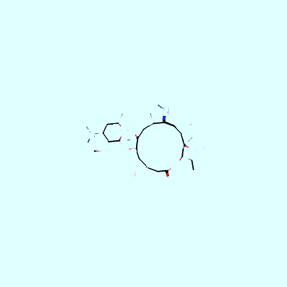 CC[C@H]1OC(=O)[C@H](C)[C@@H](O)[C@H](C)[C@@H](O[C@@H]2O[C@H](C)[C@@H](C)[C@H](N(C)C)[C@H]2OC)[C@](C)(O)C[C@@H](C)/C(=N\C)[C@H](C)[C@@H](O)[C@]1(C)O